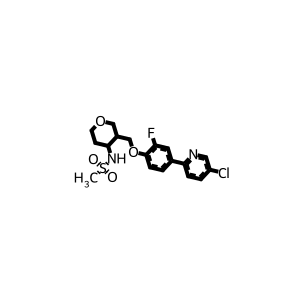 CS(=O)(=O)NC1CCOCC1COc1ccc(-c2ccc(Cl)cn2)cc1F